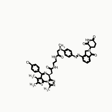 Cc1sc2c(c1C)C(c1ccc(Cl)cc1)=N[C@@H](CC(=O)NCCNC(=O)CN(C)c1ccc(/N=N/c3cccc4c3CN(C3CCC(=O)NC3=O)C4=O)cc1)c1nnc(C)n1-2